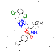 O=C(O)CC(NS(=O)(=O)c1ccc(C(F)(F)F)cc1)C(=O)Cn1nnc(Cc2c(Cl)cccc2Cl)n1